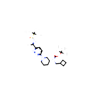 C/C(=N\[S+]([O-])C(C)(C)C)c1ccc(N2CCC[C@@H](N(CC3CCC3)C(=O)OC(C)(C)C)C2)nn1